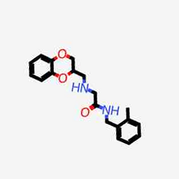 Cc1ccccc1CNC(=O)CNCC1COc2ccccc2O1